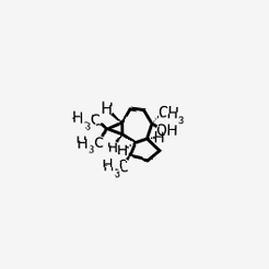 C[C@@H]1CC[C@H]2[C@@H]1[C@H]1[C@@H](CC[C@@]2(C)O)C1(C)C